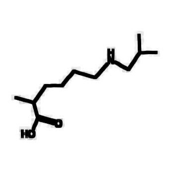 CC(C)CNCCCCC(C)C(=O)O